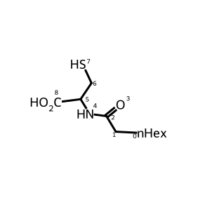 CCCCCCCC(=O)NC(CS)C(=O)O